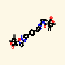 O=C1O[C@@H]2C[C@@H]3CC2[C@@H]1[C@H]3C(=O)N1CCC[C@H]1c1nc2cc(-c3ccc(-c4ccc5[nH]c([C@@H]6CCCN6C(=O)[C@H]6[C@H]7CC8[C@H]6C(=O)O[C@@H]8C7)nc5c4)cc3)ccc2[nH]1